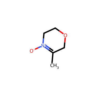 CC1=[N+]([O-])CCOC1